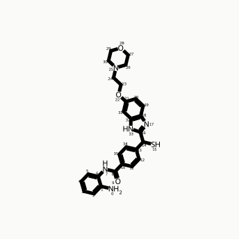 Nc1ccccc1NC(=O)c1ccc(C(S)c2nc3ccc(OCCN4CCOCC4)cc3[nH]2)cc1